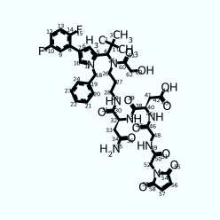 CC(C)(C)C(c1cc(-c2cc(F)ccc2F)cn1Cc1ccccc1)N(CCCNC(=O)[C@H](CC(N)=O)NC(=O)[C@@H](CC(=O)O)NC(=O)CNC(=O)CN1C(=O)C=CC1=O)C(=O)CO